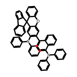 c1ccc(N(c2ccccc2)c2cc3c(cc2-c2ccc(N(c4ccccc4)c4ccccc4)c4ccccc24)Oc2ccccc2C32c3ccccc3-c3ccccc32)cc1